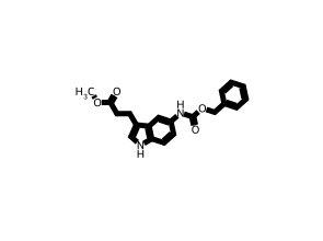 COC(=O)CCc1c[nH]c2ccc(NC(=O)OCc3ccccc3)cc12